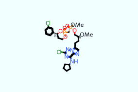 CO[C@@H](CCc1cnc2c(NC3CCCC3)nc(Cl)nn12)COP(=O)(CP1(=O)OCC[C@@H](c2cccc(Cl)c2)O1)OC